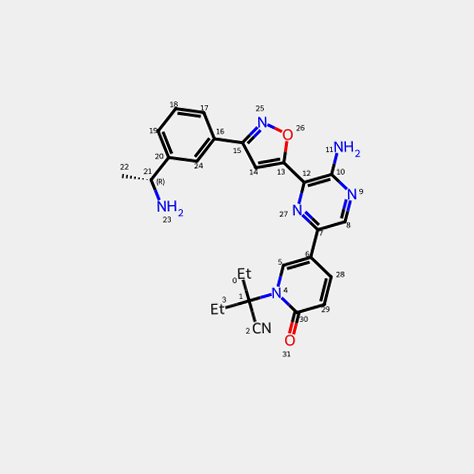 CCC(C#N)(CC)n1cc(-c2cnc(N)c(-c3cc(-c4cccc([C@@H](C)N)c4)no3)n2)ccc1=O